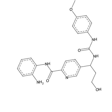 COc1ccc(NC(=O)NC(CCO)c2ccc(C(=O)Nc3ccccc3N)nc2)cc1